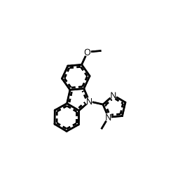 COc1ccc2c3ccccc3n(-c3nccn3C)c2c1